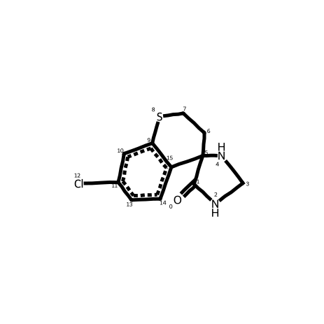 O=C1NCNC12CCSc1cc(Cl)ccc12